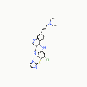 CCN(CC)CC=Cc1ccc2c(Nc3ccc(Sc4nccn4C)c(Cl)c3)c(C#N)cnc2c1